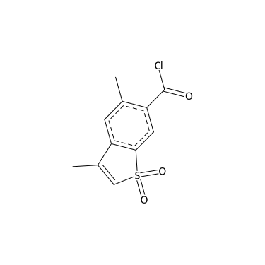 CC1=CS(=O)(=O)c2cc(C(=O)Cl)c(C)cc21